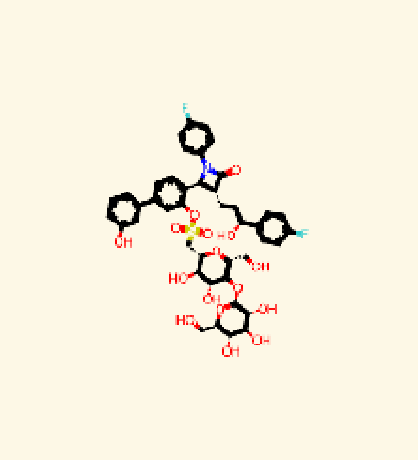 O=C1[C@H](CC[C@H](O)c2ccc(F)cc2)[C@@H](c2ccc(-c3cccc(O)c3)cc2OS(=O)(=O)C[C@@H]2O[C@H](CO)C(O[C@@H]3O[C@H](CO)[C@@H](O)[C@H](O)[C@H]3O)[C@H](O)[C@H]2O)N1c1ccc(F)cc1